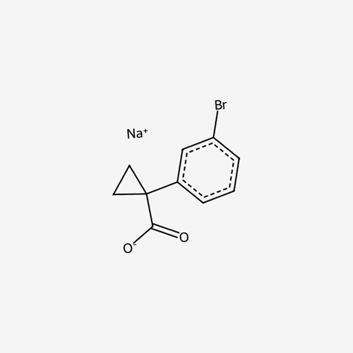 O=C([O-])C1(c2cccc(Br)c2)CC1.[Na+]